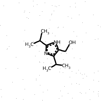 CC(C)c1nc(C(C)C)c(CO)[nH]1